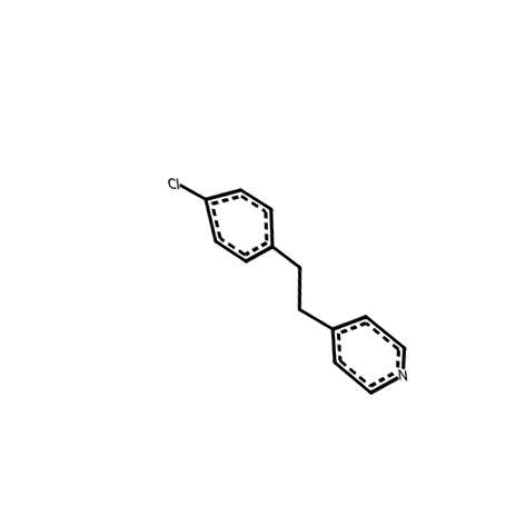 Clc1ccc(CCc2ccncc2)cc1